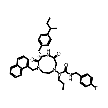 CCCN(C(=O)NCc1ccc(F)cc1)N1CCN(Cc2cccc3ccccc23)C(=O)[C@H](Cc2ccc(C(C)CC)cc2)NC(=O)C1